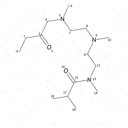 CCC(=O)CN(C)CCN(C)CCN(C)C(=O)C(C)C